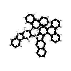 c1ccc2cc3c(cc2c1)c1c2c4ccccc4c4ccccc4c2ccc1n3-c1nc2c(nc1-c1cc3ccccc3c3ccccc13)sc1ccccc12